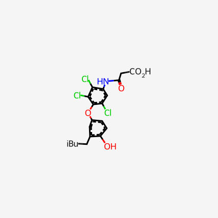 CCC(C)Cc1cc(Oc2c(Cl)cc(NC(=O)CC(=O)O)c(Cl)c2Cl)ccc1O